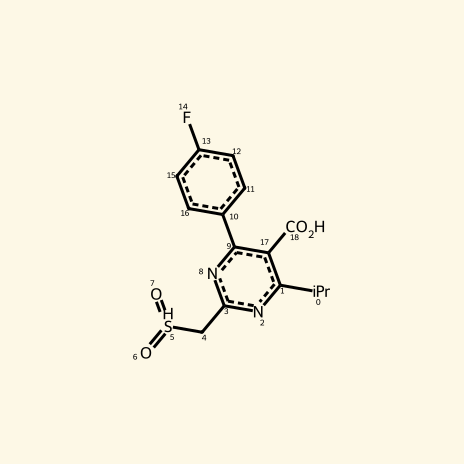 CC(C)c1nc(C[SH](=O)=O)nc(-c2ccc(F)cc2)c1C(=O)O